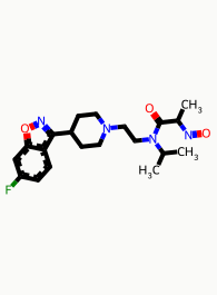 CC(N=O)C(=O)N(CCN1CCC(c2noc3cc(F)ccc23)CC1)C(C)C